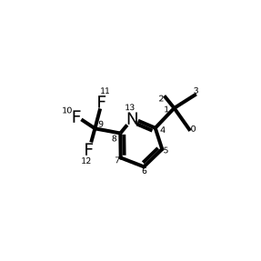 CC(C)(C)c1cccc(C(F)(F)F)n1